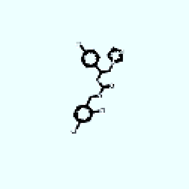 O=C(OCc1ccc(Cl)cc1Cl)SC(Cn1ccnc1)c1ccc(Cl)cc1